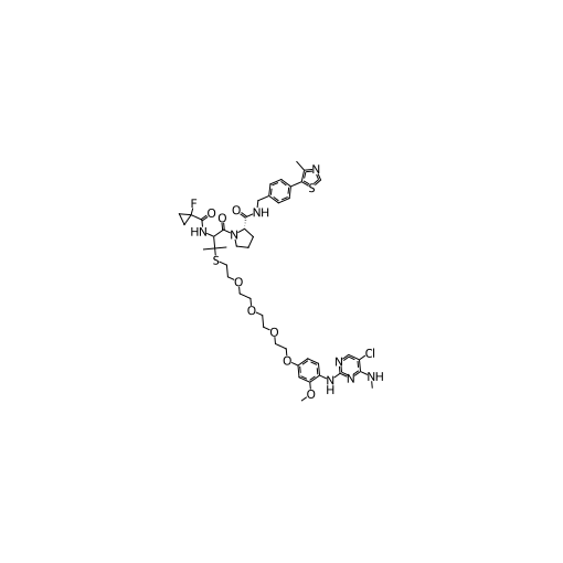 CNc1nc(Nc2ccc(OCCOCCOCCOCCSC(C)(C)C(NC(=O)C3(F)CC3)C(=O)N3CCC[C@H]3C(=O)NCc3ccc(-c4scnc4C)cc3)cc2OC)ncc1Cl